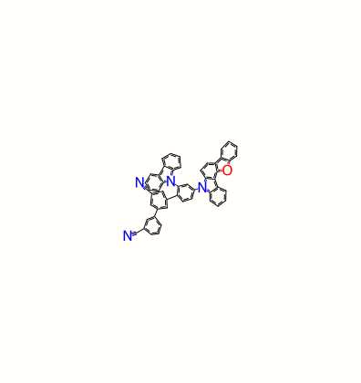 N#Cc1cccc(-c2cc(C#N)cc(-c3ccc(-n4c5ccccc5c5c6oc7ccccc7c6ccc54)cc3-n3c4ccccc4c4ccccc43)c2)c1